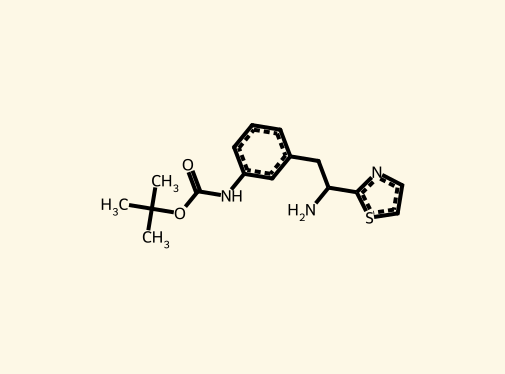 CC(C)(C)OC(=O)Nc1cccc(CC(N)c2nccs2)c1